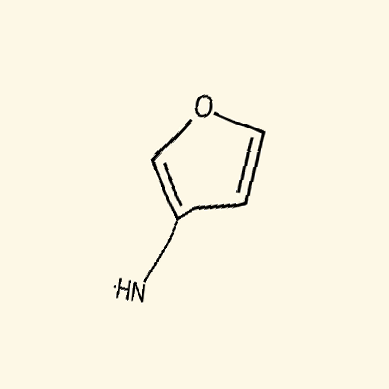 [NH]c1ccoc1